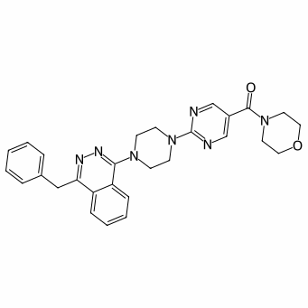 O=C(c1cnc(N2CCN(c3nnc(Cc4ccccc4)c4ccccc34)CC2)nc1)N1CCOCC1